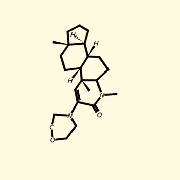 CN1C(=O)C(N2CCOCC2)=C[C@@]2(C)C1CC[C@@H]1[C@H]2CC[C@]2(C)CCC[C@@H]12